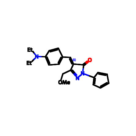 CCN(CC)c1ccc(/C=C2/C(=O)N(c3ccccc3)N=C2COC)cc1